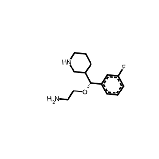 NCCO[C@@H](c1cccc(F)c1)C1CCCNC1